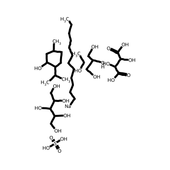 CC1CCC(C(C)C)C(O)C1.CCCCCCCCCCC[CH2][Na].CCO.O=C(O)C(O)C(O)C(=O)O.O=S(=O)(O)O.OCC(O)C(O)C(O)CO.OCC(O)CO